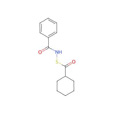 O=C(NSC(=O)C1CCCCC1)c1ccccc1